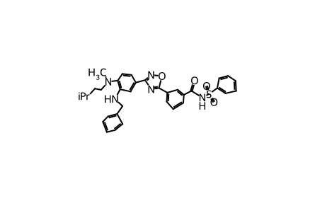 CC(C)CCN(C)c1ccc(-c2noc(-c3cccc(C(=O)NS(=O)(=O)c4ccccc4)c3)n2)cc1NCc1ccccc1